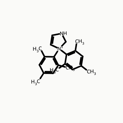 Cc1cc(C)c([N+]2(c3c(C)cc(C)cc3C)C=CNC2)c(C)c1